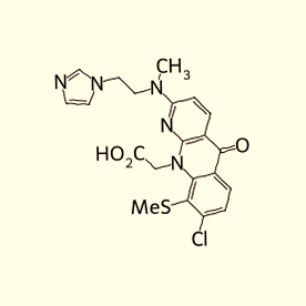 CSc1c(Cl)ccc2c(=O)c3ccc(N(C)CCn4ccnc4)nc3n(CC(=O)O)c12